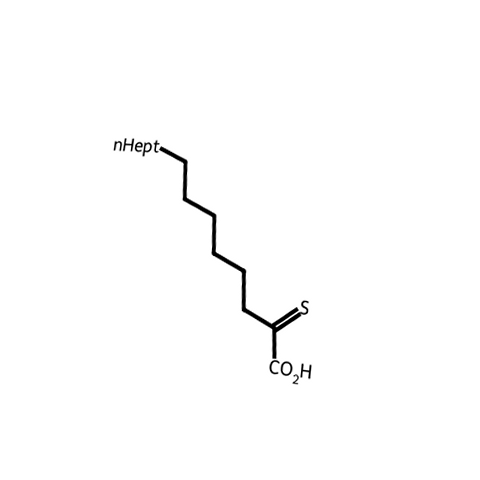 CCCCCCCCCCCCCC(=S)C(=O)O